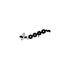 C=CCCC1CCC(c2ccc(C3CCC(C4CCC(OCCNC(=O)C=C)CC4)CC3)c(F)c2)CC1